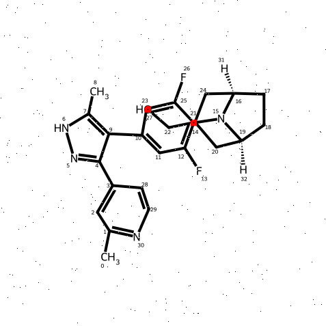 Cc1cc(-c2n[nH]c(C)c2-c2cc(F)c(N3[C@@H]4CC[C@H]3CC(CO)C4)c(F)c2)ccn1